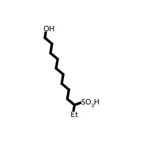 CCC(CCCCCCCCCO)S(=O)(=O)O